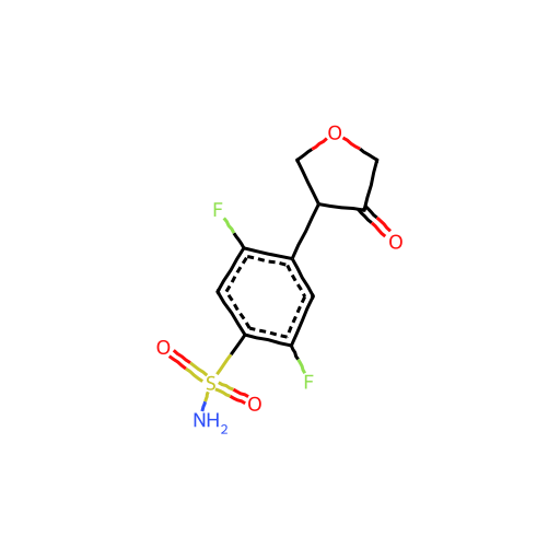 NS(=O)(=O)c1cc(F)c(C2COCC2=O)cc1F